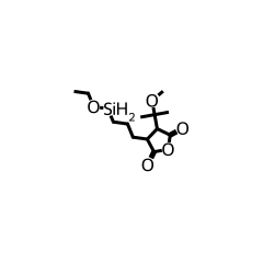 CCO[SiH2]CCCC1C(=O)OC(=O)C1C(C)(C)OC